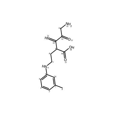 Cc1cccc(NCCC(C(=N)C(=O)CN)C(=O)O)c1